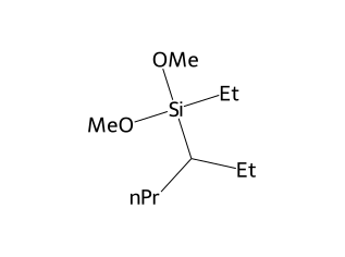 [CH2]CCC(CC)[Si](CC)(OC)OC